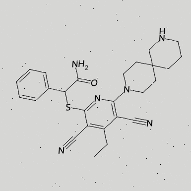 CCc1c(C#N)c(SC(C(N)=O)c2ccccc2)nc(N2CCC3(CCCNC3)CC2)c1C#N